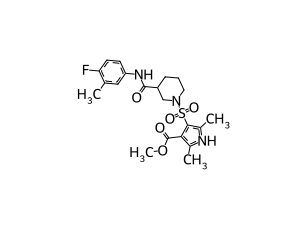 COC(=O)c1c(C)[nH]c(C)c1S(=O)(=O)N1CCCC(C(=O)Nc2ccc(F)c(C)c2)C1